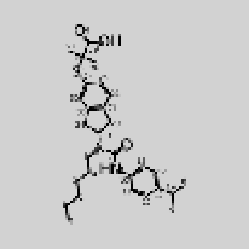 CCCCCCN(C(=O)Nc1ccc(C(C)C)cc1)C1Cc2ccc(SC(C)(C)C(=O)O)cc2C1